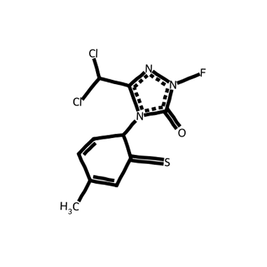 CC1=CC(=S)C(n2c(C(Cl)Cl)nn(F)c2=O)C=C1